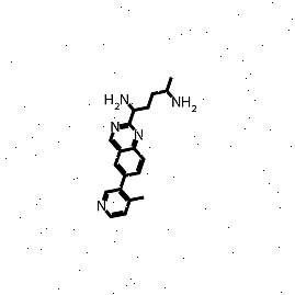 Cc1ccncc1-c1ccc2nc(C(N)CCC(C)N)ncc2c1